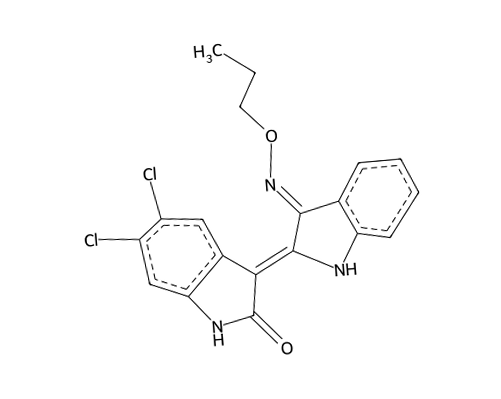 CCCO/N=C1/C(=C2/C(=O)Nc3cc(Cl)c(Cl)cc32)Nc2ccccc21